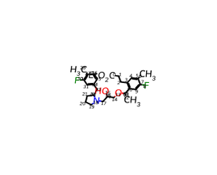 CCOC(=O)CCc1cc(C)c(F)cc1[C@@H](C)OC[C@H](O)CN1CCC[C@H]1Cc1ccc(C)c(F)c1